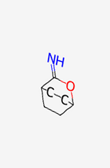 N=C1OC2CCC1CC2